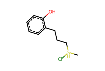 C[SH](Cl)CCCc1ccccc1O